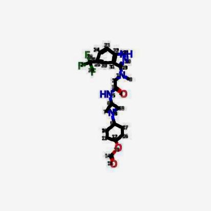 CN(CC(=O)NC1CN(C2CCC(OC=O)CC2)C1)c1n[nH]c2ccc(C(F)(F)F)cc12